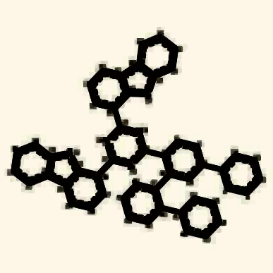 c1ccc(-c2ccc(-c3nc(-c4cccc5c4sc4ccccc45)nc(-c4cccc5c4sc4ccccc45)n3)c(-c3ccccc3-c3ccccc3)c2)cc1